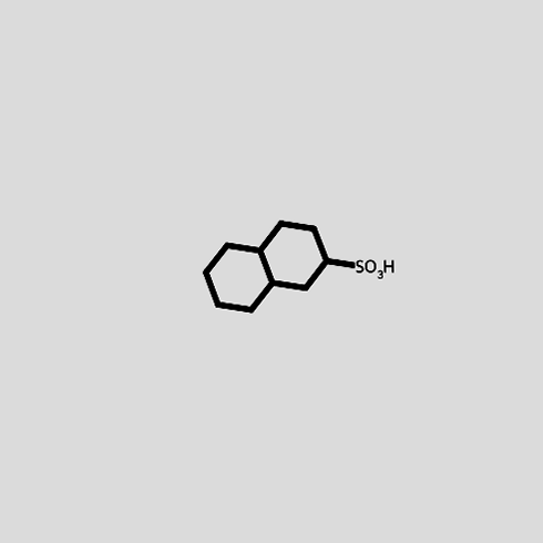 O=S(=O)(O)C1CCC2CCCCC2C1